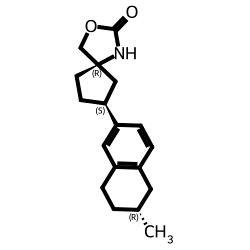 C[C@@H]1CCc2cc([C@H]3CC[C@]4(COC(=O)N4)C3)ccc2C1